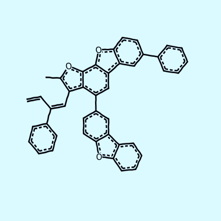 C=C/C(=C\c1c(C)oc2c1c(-c1ccc3oc4ccccc4c3c1)cc1c3cc(-c4ccccc4)ccc3oc12)c1ccccc1